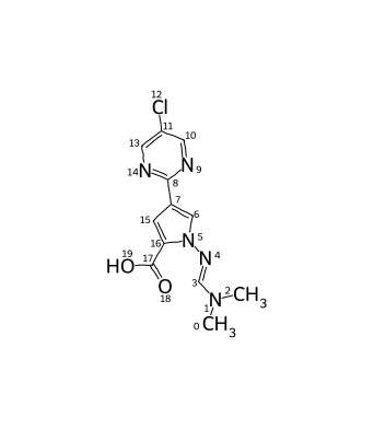 CN(C)/C=N/n1cc(-c2ncc(Cl)cn2)cc1C(=O)O